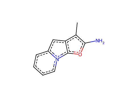 Cc1c(N)oc2c1cc1ccccn12